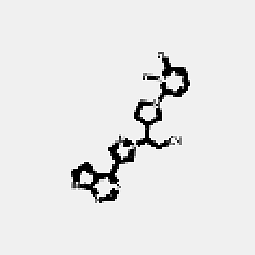 N#CCC(C1CCN(c2cccc(Cl)[n+]2[O-])C1)n1cc(-c2ncnc3[nH]ccc23)cn1